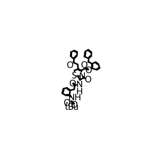 CC(C)(C)OC(=O)Nc1ccccc1CC(=O)NC1C(=O)N2C(C(=O)OC(c3ccccc3)c3ccccc3)=C(CC(=O)c3ccccc3)CSC12